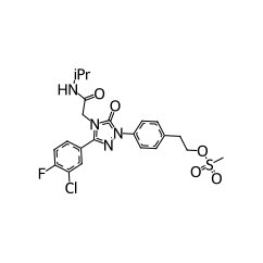 CC(C)NC(=O)Cn1c(-c2ccc(F)c(Cl)c2)nn(-c2ccc(CCOS(C)(=O)=O)cc2)c1=O